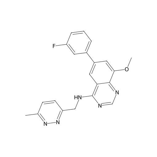 COc1cc(-c2cccc(F)c2)cc2c(NCc3ccc(C)nn3)ncnc12